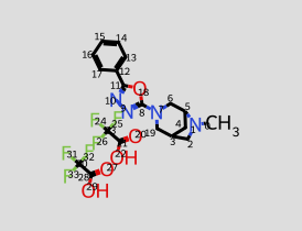 CN1CC2CC1CN(c1nnc(-c3ccccc3)o1)C2.O=C(O)C(F)(F)F.O=C(O)C(F)(F)F